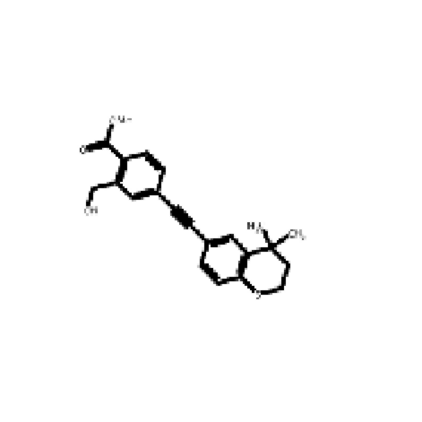 COC(=O)c1ccc(C#Cc2ccc3c(c2)C(C)(C)CCS3)cc1CO